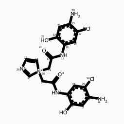 Nc1cc(O)c(NC(=O)C[N+]2(CC(=O)Nc3cc(Cl)c(N)cc3O)C=C[N+]=C2)cc1Cl